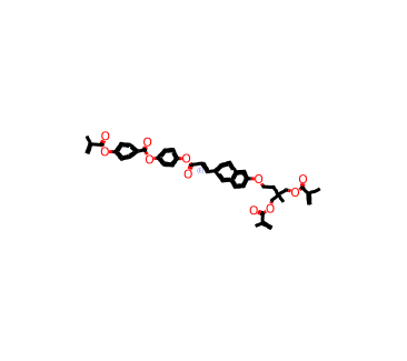 C=C(C)C(=O)OCC(C)(CCOc1ccc2cc(/C=C/C(=O)Oc3ccc(OC(=O)c4ccc(OC(=O)C(=C)C)cc4)cc3)ccc2c1)COC(=O)C(=C)C